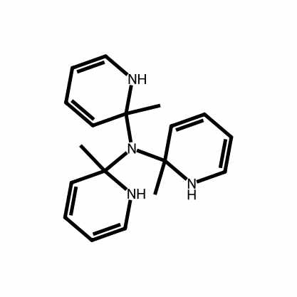 CC1(N(C2(C)C=CC=CN2)C2(C)C=CC=CN2)C=CC=CN1